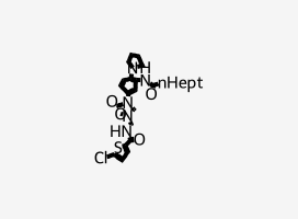 CCCCCCCC(=O)Nc1cc(N2CN(CNC(=O)c3ccc(Cl)s3)OC2=O)ccc1N1CCCC1